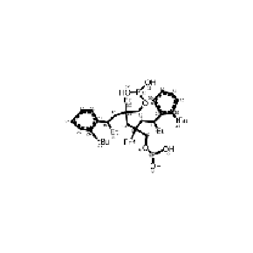 CCC(CC(CC)(COP(O)O)CC(CC)(COP(O)O)CC(CC)c1ccccc1C(C)(C)C)c1ccccc1C(C)(C)C